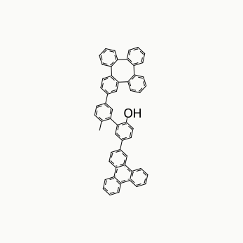 Cc1ccc(-c2ccc3c(c2)-c2ccccc2-c2ccccc2-c2ccccc2-3)cc1-c1cc(-c2ccc3c4ccccc4c4ccccc4c3c2)ccc1O